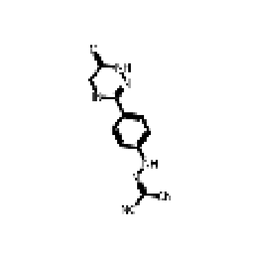 N#CC(C#N)=NNc1ccc(C2=NNC(=O)CN2)cc1